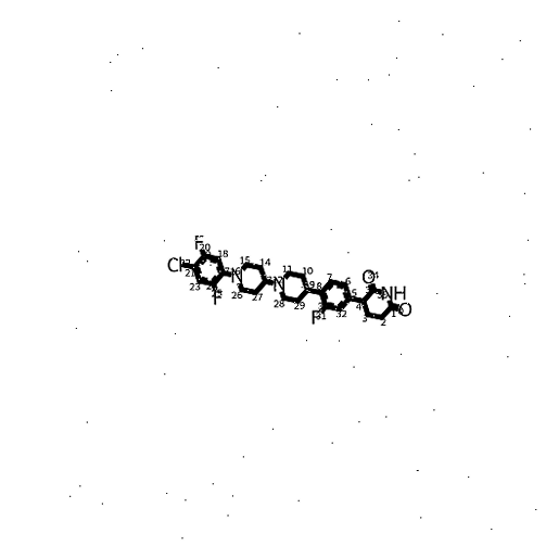 O=C1CCC(c2ccc(C3CCN(C4CCN(c5cc(F)c(Cl)cc5F)CC4)CC3)c(F)c2)C(=O)N1